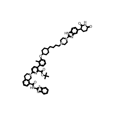 Cc1c(OC2CCC(CCCCN3CCN(c4nc5cc(C6CCC(=O)NC6=O)ccc5[nH]4)CC3)CC2)cccc1-c1ccc(N2CCc3cccc(C(=O)Nc4nc5ccccc5s4)c3C2)nc1C(=O)OC(C)(C)C